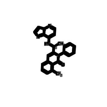 C[C@H](Nc1ccnn2ccnc12)c1cc2cccc(C(F)(F)F)c2c(=O)n1-c1ccccc1